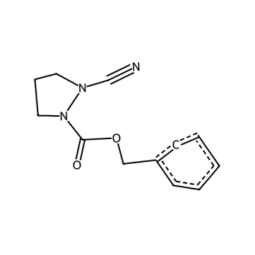 N#CN1CCCN1C(=O)OCc1ccccc1